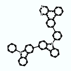 c1ccc(-n2c3ccccc3c3cc(-c4ccc5c(c4)c4ccccc4n5-c4cccc(-c5ccc6c(c5)c5ccccc5c5cncnc65)c4)ccc32)cc1